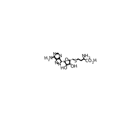 Nc1ncnc2c1N=NC2[C@@H]1O[C@H](CSCCC(N)C(=O)O)[C@@H](O)[C@H]1O